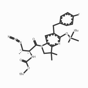 C[C@H](N=[N+]=[N-])[C@H](NC(=O)OC(C)(C)C)C(=O)N1CC(C)(C)c2nc(O[Si](C)(C)C(C)(C)C)c(Cc3ccc(F)cc3)cc21